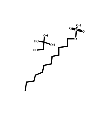 CCCCCCCCCCCCOS(=O)(=O)O.OCC(O)(O)O